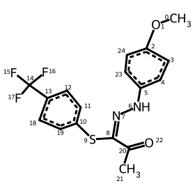 COc1ccc(N/N=C(/Sc2ccc(C(F)(F)F)cc2)C(C)=O)cc1